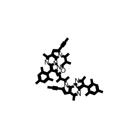 CC#Cc1cc2c(C)nc3c(-c4c(C)cc(C)cc4C)c(C)nn3c2n1C(C)C(C)COCC(C)C(C)n1c(C#CC)cc2c(C)nc3c(-c4c(C)cc(C)cc4C)c(C)nn3c21